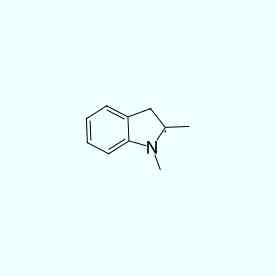 C[C]1Cc2ccccc2N1C